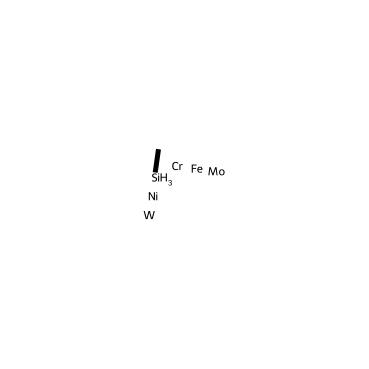 C[SiH3].[Cr].[Fe].[Mo].[Ni].[W]